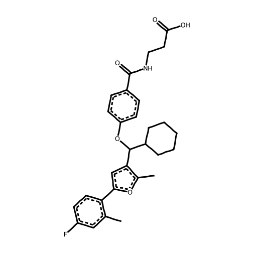 Cc1cc(F)ccc1-c1cc(C(Oc2ccc(C(=O)NCCC(=O)O)cc2)C2CCCCC2)c(C)o1